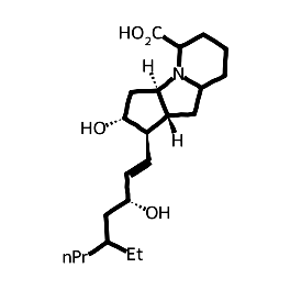 CCCC(CC)C[C@@H](O)/C=C/[C@@H]1[C@H]2CC3CCCC(C(=O)O)N3[C@@H]2C[C@H]1O